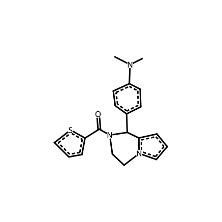 CN(C)c1ccc(C2c3cccn3CCN2C(=O)c2cccs2)cc1